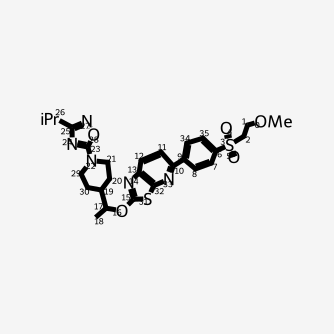 COCCS(=O)(=O)c1ccc(-c2ccc3nc(OC(C)C4CCN(c5nc(C(C)C)no5)CC4)sc3n2)cc1